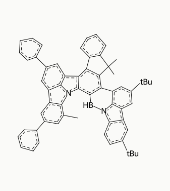 Cc1cc(-c2ccccc2)cc2c3cc(-c4ccccc4)cc4c5c6c(c7c(c5n(c12)c34)Bn1c2ccc(C(C)(C)C)cc2c2cc(C(C)(C)C)cc-7c21)C(C)(C)c1ccccc1-6